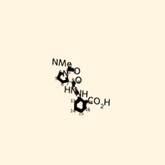 CNC(=O)N1CCC[C@H]1C(=O)NNc1ccccc1C(=O)O